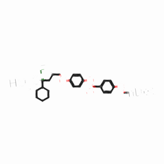 CCCCCCCCCCCOc1ccc(C(=O)Oc2ccc(OCC(CC)C[C@@](F)(C(=O)O)C3CCCCC3)cc2)cc1